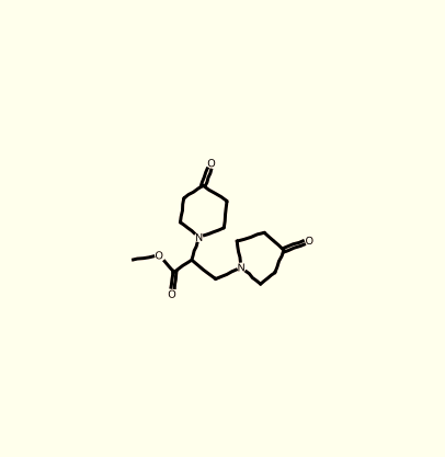 COC(=O)C(CN1CCC(=O)CC1)N1CCC(=O)CC1